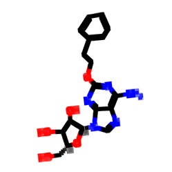 Nc1nc(OCCc2ccccc2)nc2c1ncn2[C@@H]1O[C@H](CO)C(O)C1O